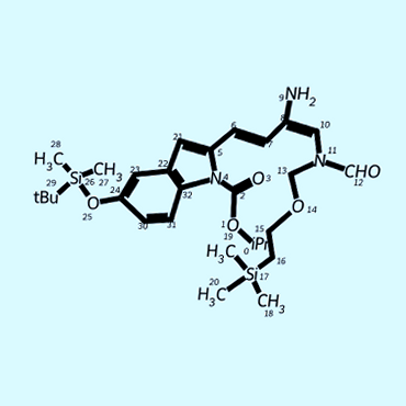 CC(C)OC(=O)n1c(/C=C/C(N)=C\N(C=O)COCC[Si](C)(C)C)cc2cc(O[Si](C)(C)C(C)(C)C)ccc21